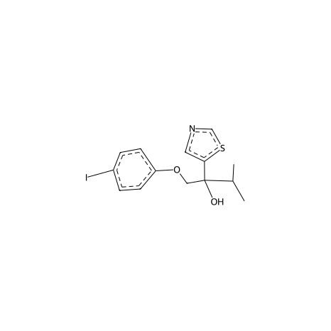 CC(C)C(O)(COc1ccc(I)cc1)c1cncs1